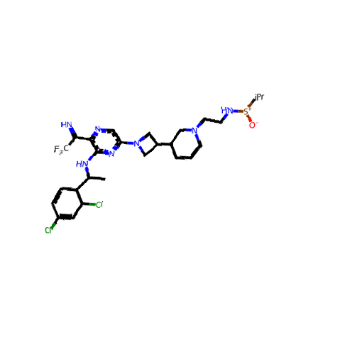 CC(Nc1nc(N2CC(C3CCCN(CCN[S+]([O-])C(C)C)C3)C2)cnc1C(=N)C(F)(F)F)C1C=CC(Cl)=CC1Cl